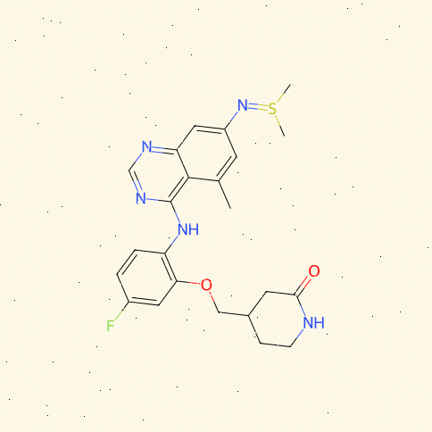 Cc1cc(N=S(C)C)cc2ncnc(Nc3ccc(F)cc3OCC3CCNC(=O)C3)c12